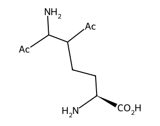 CC(=O)C(N)C(CC[C@H](N)C(=O)O)C(C)=O